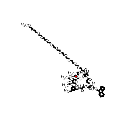 C=CCOC(=O)[C@H]1O[C@@H](Oc2ccc(CO)cc2CNC(=O)CCNC(=O)[C@H](CCCC(=O)N2C[C@@H]3C[C@H]2CN3C(=O)CCOCCOCCOCCOCCOCCOCCOCCOCCOCCOCCOCCOC)NC(=O)OCC2c3ccccc3-c3ccccc32)[C@H](OC(C)=O)[C@@H](OC(C)=O)[C@@H]1OC(C)=O